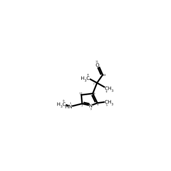 CNC1=NC(C)=C(C(C)(C)C=O)C1